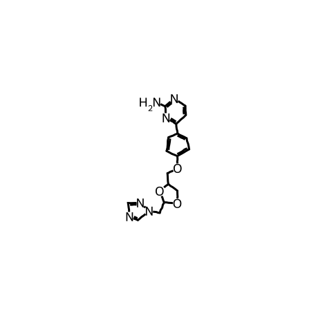 Nc1nccc(-c2ccc(OCC3COC(Cn4cncn4)O3)cc2)n1